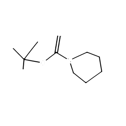 C=C(OC(C)(C)C)N1CCCCC1